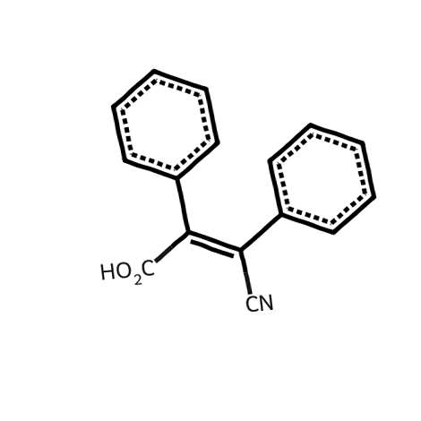 N#CC(=C(C(=O)O)c1ccccc1)c1ccccc1